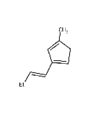 CCC=CC1=CCC(C)=C1